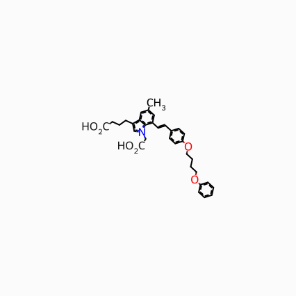 Cc1cc(C=Cc2ccc(OCCCCOc3ccccc3)cc2)c2c(c1)c(CCCC(=O)O)cn2CC(=O)O